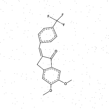 COc1cc2c(cc1OC)C(=O)C(=Cc1ccc(C(F)(F)F)cc1)C2